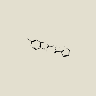 Cc1cc2sc(NC(=O)C3=NCC=C3)nc2cn1